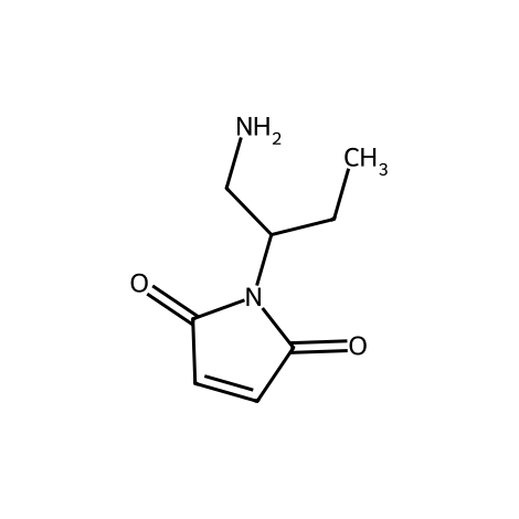 CCC(CN)N1C(=O)C=CC1=O